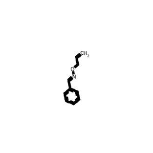 C=CCO/N=C/c1ccccc1